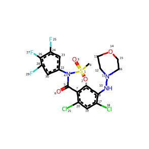 CS(=O)(=O)N(C(=O)c1cc(NN2CCOCC2)c(Cl)cc1Cl)c1cc(F)c(F)c(F)c1